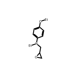 CCOc1ccc(N(CC)CC2CO2)cc1